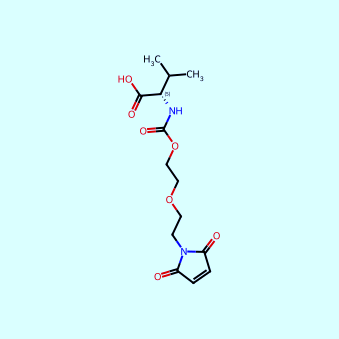 CC(C)[C@H](NC(=O)OCCOCCN1C(=O)C=CC1=O)C(=O)O